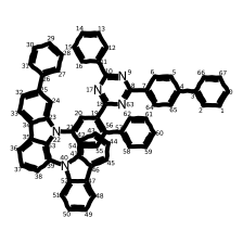 c1ccc(-c2ccc(-c3nc(-c4ccccc4)nc(-c4cc(-n5c6cc(-c7ccccc7)ccc6c6cccc(-n7c8ccccc8c8ccccc87)c65)ccc4-c4ccccc4)n3)cc2)cc1